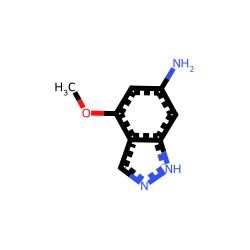 COc1cc(N)cc2[nH]ncc12